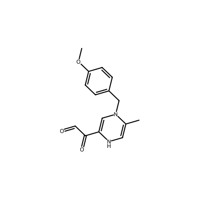 COc1ccc(CN2C=C(C(=O)C=O)NC=C2C)cc1